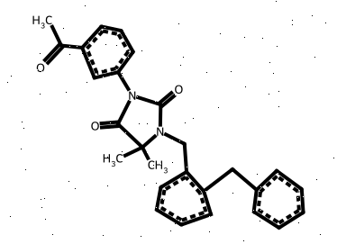 CC(=O)c1cccc(N2C(=O)N(Cc3ccccc3Cc3ccccc3)C(C)(C)C2=O)c1